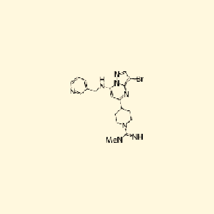 CNC(=N)N1CCC(c2cc(NCc3cccnc3)n3ncc(Br)c3n2)CC1